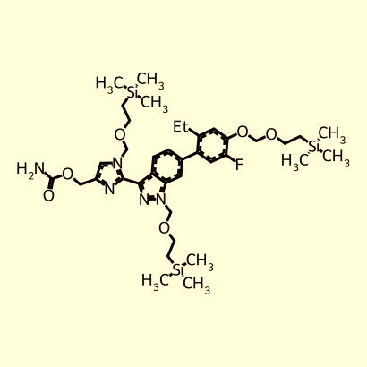 CCc1cc(OCOCC[Si](C)(C)C)c(F)cc1-c1ccc2c(-c3nc(COC(N)=O)cn3COCC[Si](C)(C)C)nn(COCC[Si](C)(C)C)c2c1